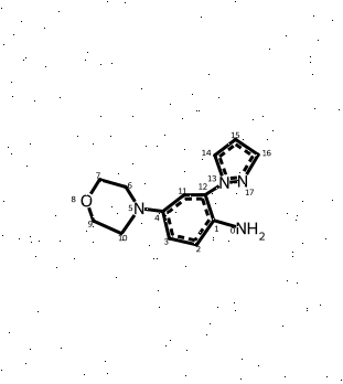 Nc1ccc(N2CCOCC2)cc1-n1cccn1